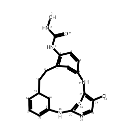 O=C(NO)Nc1ccc2cc1CCC1C=CC=C(C1)Nc1ncc(Cl)c(n1)N2